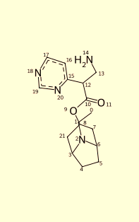 CCN1C2CCC1CC(OC(=O)C(CN)c1ccncn1)C2